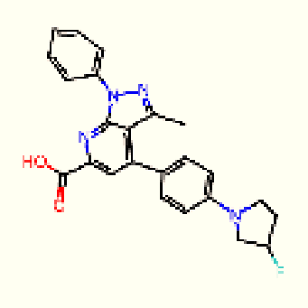 Cc1nn(-c2ccccc2)c2nc(C(=O)O)cc(-c3ccc(N4CCC(F)C4)cc3)c12